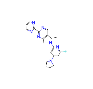 CC1c2cnc(-c3ncccn3)nc2CN1c1cc(N2CCCC2)cc(F)n1